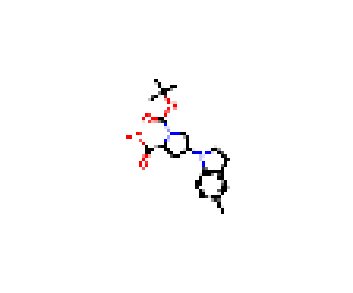 Cc1ccc2c(c1)CCN2C1C[C@@H](C(=O)O)N(C(=O)OC(C)(C)C)C1